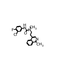 Cc1ncc(CCN(C)C(=O)Nc2ccc(F)c(Cl)c2)c2ccccc12